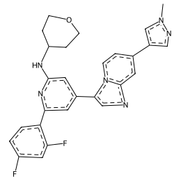 Cn1cc(-c2ccn3c(-c4cc(NC5CCOCC5)nc(-c5ccc(F)cc5F)c4)cnc3c2)cn1